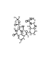 CC(=O)c1cc(C)cc2c(=O)n(C)c3c(C(=O)OC(C)(C)C)ncn3c12.NC(=O)N1C=c2ccccc2=NC1